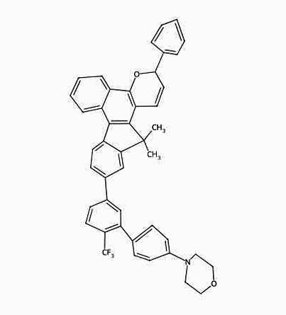 CC1(C)c2cc(-c3ccc(C(F)(F)F)c(-c4ccc(N5CCOCC5)cc4)c3)ccc2-c2c1c1c(c3ccccc23)OC(c2ccccc2)C=C1